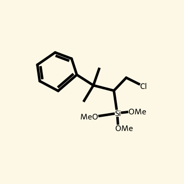 CO[Si](OC)(OC)C(CCl)C(C)(C)c1ccccc1